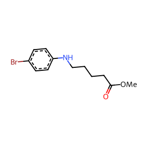 COC(=O)CCCCNc1ccc(Br)cc1